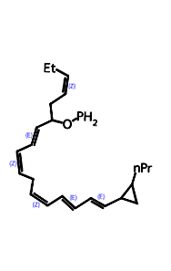 CC/C=C\CC(/C=C/C=C\C\C=C/C=C/C=C/C1CC1CCC)OP